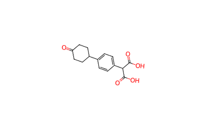 O=C1CCC(c2ccc(C(C(=O)O)C(=O)O)cc2)CC1